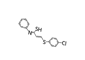 SC(C=CSc1ccc(Cl)cc1)=Nc1ccccc1